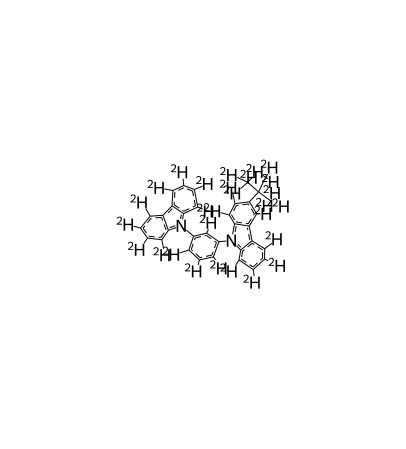 [2H]c1c([2H])c(-n2c3c([2H])c([2H])c([2H])c([2H])c3c3c([2H])c([2H])c([2H])c([2H])c32)c([2H])c(-n2c3c([2H])c([2H])c([2H])c([2H])c3c3c([2H])c(C(C([2H])([2H])[2H])(C([2H])([2H])[2H])C([2H])([2H])[2H])c([2H])c([2H])c32)c1[2H]